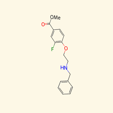 COC(=O)c1ccc(OCCNCc2ccccc2)c(F)c1